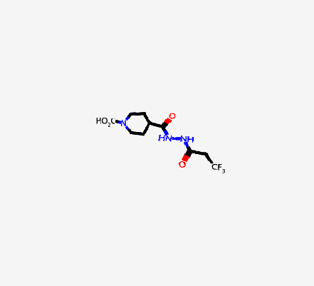 O=C(CC(F)(F)F)NNC(=O)C1CCN(C(=O)O)CC1